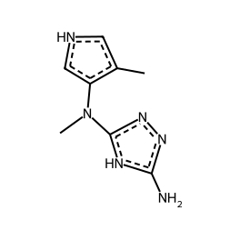 Cc1c[nH]cc1N(C)c1nnc(N)[nH]1